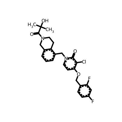 CC(C)(O)C(=O)N1CCc2c(cccc2Cn2ccc(OCc3ccc(F)cc3F)c(Cl)c2=O)C1